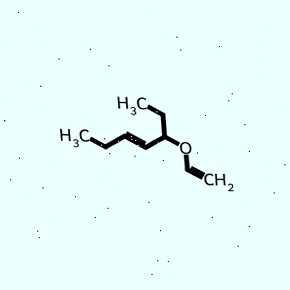 C=COC(C=CCC)CC